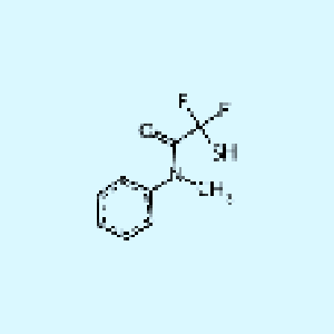 CN(C(=O)C(F)(F)S)c1ccccc1